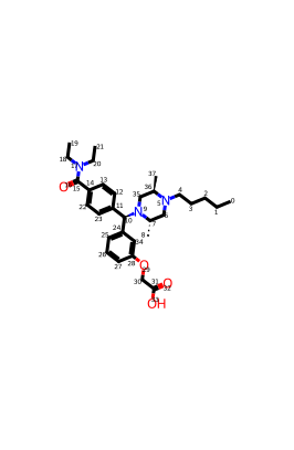 CCCCCN1C[C@H](C)N([C@H](c2ccc(C(=O)N(CC)CC)cc2)c2cccc(OCC(=O)O)c2)C[C@H]1C